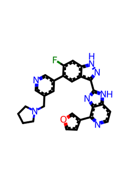 Fc1cc2[nH]nc(-c3nc4c(-c5ccoc5)nccc4[nH]3)c2cc1-c1cncc(CN2CCCC2)c1